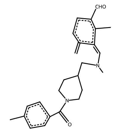 C=c1ccc(C=O)c(C)/c1=C/N(C)CC1CCN(C(=O)c2ccc(C)cc2)CC1